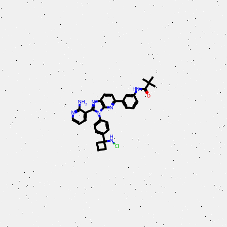 CC(C)(C)C(=O)Nc1cccc(-c2ccc3nc(-c4cccnc4N)n(-c4ccc(C5(NCl)CCC5)cc4)c3n2)c1